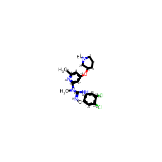 CCN1CCCC(Oc2cc(C)nc(N(C)/C(=N/C)Nc3ccc(Cl)c(Cl)c3)c2)C1